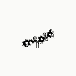 Cc1cncc(S(=O)(=O)c2ccc(NC(=O)/C=C/c3cccnc3)cc2)c1